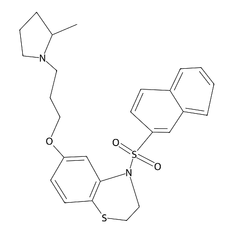 CC1CCCN1CCCOc1ccc2c(c1)N(S(=O)(=O)c1ccc3ccccc3c1)CCS2